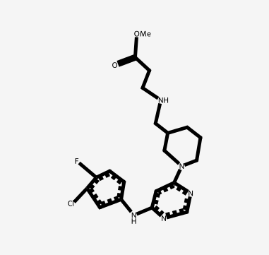 COC(=O)CCNCC1CCCN(c2cc(Nc3ccc(F)c(Cl)c3)ncn2)C1